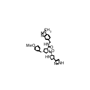 COc1ccc(C[C@@H]2C[C@@H](C(=O)NCc3ccc4c(c3)nnn4C)N(C(=O)[C@H]3CC(c4c[nH]cn4)CN3)C2)cc1